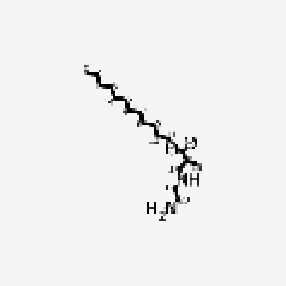 CCCCCCCCCCCCOC(=O)C(C)CNCCN